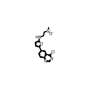 C[S+]([O-])CCNc1ccc(-c2ccc3ncnc(Cl)c3c2)o1